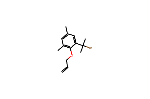 C=CCOc1c(C)cc(C)cc1C(C)(C)Br